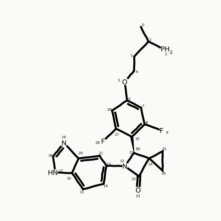 CC(P)CCOc1cc(F)c([C@@H]2N(c3ccc4[nH]cnc4c3)C(=O)C23CC3)c(F)c1